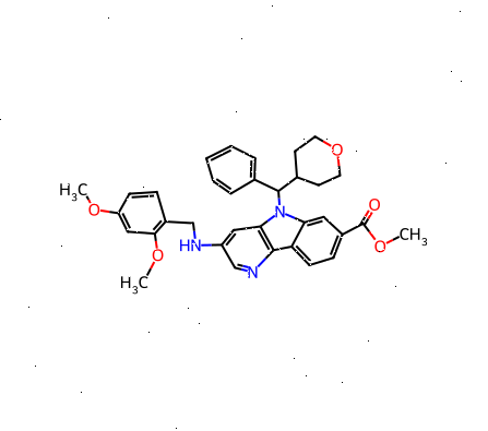 COC(=O)c1ccc2c3ncc(NCc4ccc(OC)cc4OC)cc3n(C(c3ccccc3)C3CCOCC3)c2c1